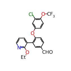 CCOc1ncccc1-c1cc(C=O)ccc1Oc1ccc(OC(F)(F)F)c(Cl)c1